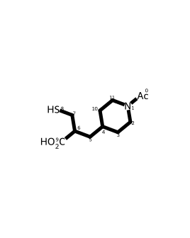 CC(=O)N1CCC(CC(CS)C(=O)O)CC1